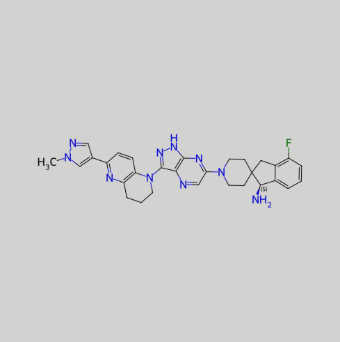 Cn1cc(-c2ccc3c(n2)CCCN3c2n[nH]c3nc(N4CCC5(CC4)Cc4c(F)cccc4[C@H]5N)cnc23)cn1